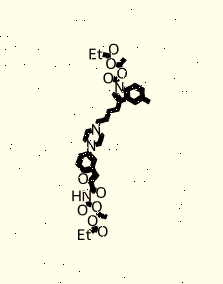 CCC(=O)OC(C)OC(=O)NC(=O)c1cc2cc(N3CCN(CCCCc4cn(C(=O)OC(C)OC(=O)CC)c5ccc(C)cc45)CC3)ccc2o1